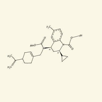 C=C(C)C1CC=C(CN(C(=O)OC)[C@@H]2C[C@H](C3CC3)N(C(=O)OC(C)C)c3ccc(C(F)(F)F)cc32)CC1